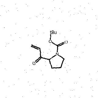 C=CC(=O)C1CCCN1C(=O)OC(C)(C)C